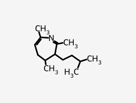 CC1=CCC(C)C(CCC(C)C)C(C)=N1